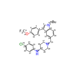 CCCCn1cc(-c2ccc(OC(F)(F)F)cc2)c2cc(CN3CCC(Nc4ccc(Cl)cc4)CC3)ccc21